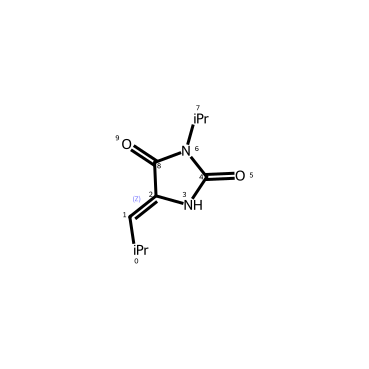 CC(C)/C=C1\NC(=O)N(C(C)C)C1=O